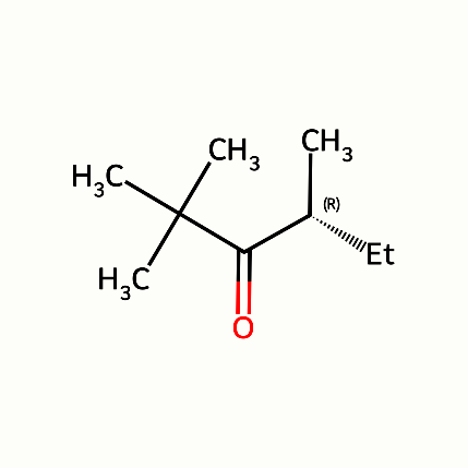 CC[C@@H](C)C(=O)C(C)(C)C